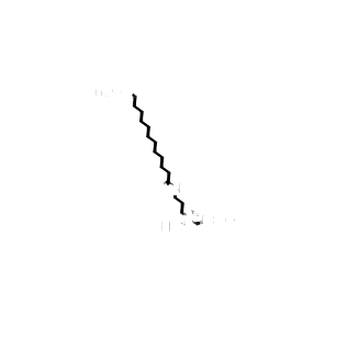 CCCCCCCCCCCCCCCCCCCCCC(=O)NCCC[N+](C)(C)CC(=O)[O-]